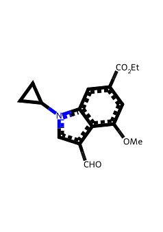 CCOC(=O)c1cc(OC)c2c(C=O)cn(C3CC3)c2c1